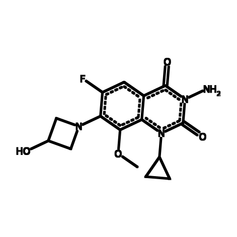 COc1c(N2CC(O)C2)c(F)cc2c(=O)n(N)c(=O)n(C3CC3)c12